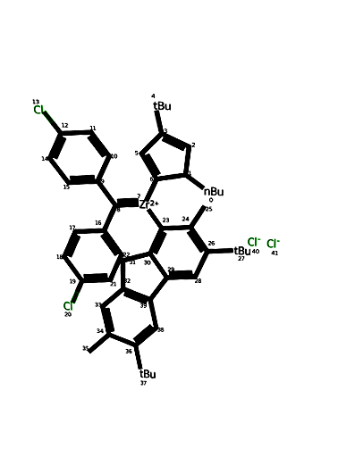 CCCCC1C=C(C(C)(C)C)C=[C]1[Zr+2](=[C](c1ccc(Cl)cc1)c1ccc(Cl)cc1)[c]1c(C)c(C(C)(C)C)cc2c1Cc1cc(C)c(C(C)(C)C)cc1-2.[Cl-].[Cl-]